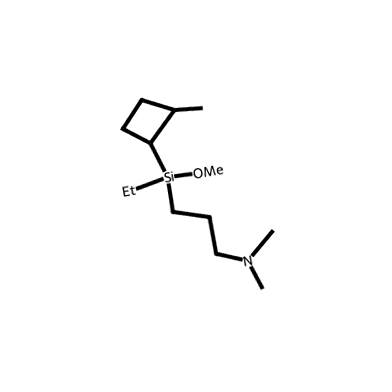 CC[Si](CCCN(C)C)(OC)C1CCC1C